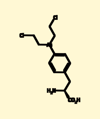 N[C@@H](Cc1ccc([As](CCCl)CCCl)cc1)C(=O)O